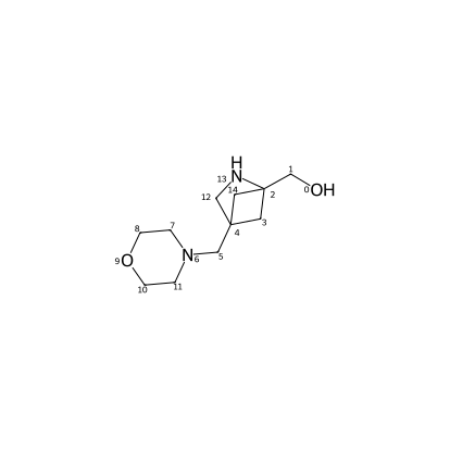 OCC12CC(CN3CCOCC3)(CN1)C2